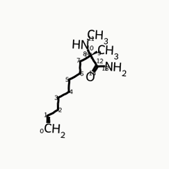 C=CCCCCCC[C@](C)(NC)C(N)=O